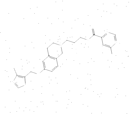 Cc1ncoc1COc1ccc2c(c1)CCN(C[C@@H](O)CNC(=O)c1cc(Cl)ncn1)C2